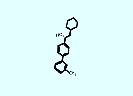 O[C@H](CC1CCCCC1)c1ccc(-c2cccc(C(F)(F)F)c2)cc1